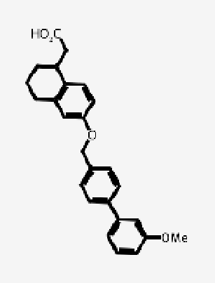 COc1cccc(-c2ccc(COc3ccc4c(c3)CCCC4CC(=O)O)cc2)c1